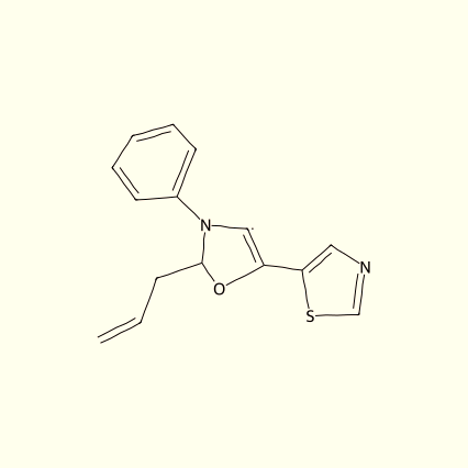 C=CCC1OC(c2cncs2)=[C]N1c1ccccc1